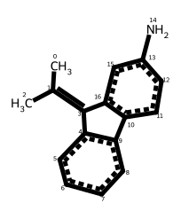 CC(C)=C1c2ccccc2-c2ccc(N)cc21